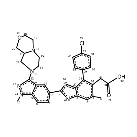 Cc1cc2nc(-c3ccc4c(c3)c(N3CCN5CCOCC5C3)nn4C)sc2c(-c2ccc(Cl)cc2)c1CC(=O)O